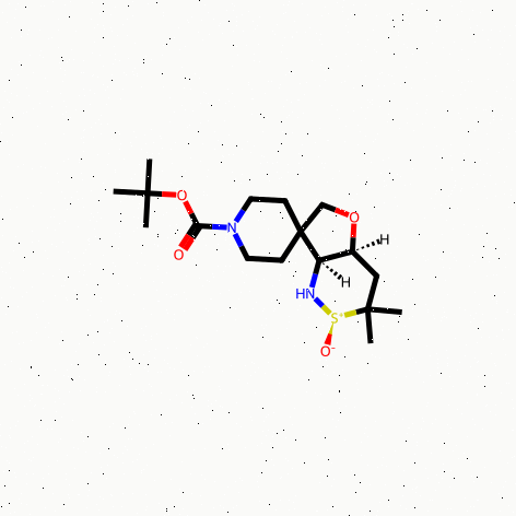 CC(C)(C)OC(=O)N1CCC2(CC1)CO[C@H]1CC(C)(C)[S@@+]([O-])N[C@H]12